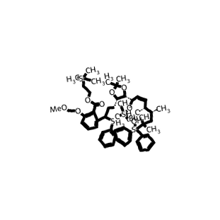 COCOc1cccc(C(CC[C@@H]2OC(C)(C)O[C@@H]2C(/C=C\[C@@H](C)[C@H](C)CC(C)(C)[Si](O)(c2ccccc2)c2ccccc2)O[Si](C)(C)C(C)(C)C)Sc2ccccc2)c1C(=O)OCC[Si](C)(C)C